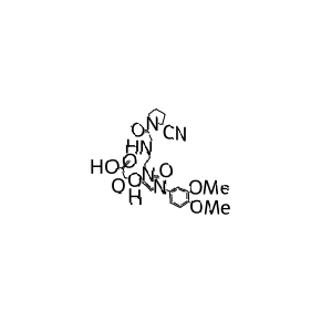 COc1ccc(-n2ccn(CCNCC(=O)N3CCCC3C#N)c2=O)cc1OC.O=C(O)C(=O)O